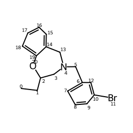 CCC1CN(Cc2cccc(Br)c2)Cc2ccccc2O1